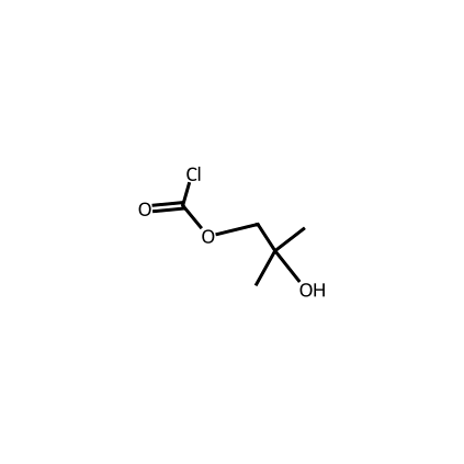 CC(C)(O)COC(=O)Cl